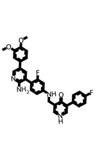 COc1ccc(-c2cnc(N)c(-c3ccc(NCc4c[nH]cc(-c5ccc(F)cc5)c4=O)cc3F)c2)cc1OC